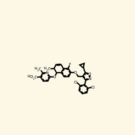 Cc1nc(OC2c3ccc(OCc4c(-c5c(Cl)cccc5Cl)noc4C4CC4)c(F)c3C=CC2C)ccc1C(=O)O